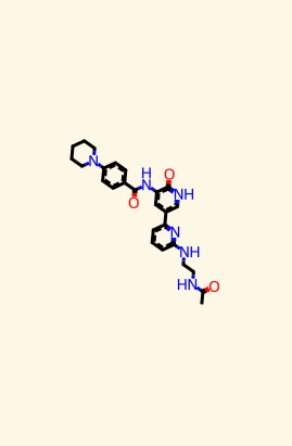 CC(=O)NCCNc1cccc(-c2c[nH]c(=O)c(NC(=O)c3ccc(N4CCCCC4)cc3)c2)n1